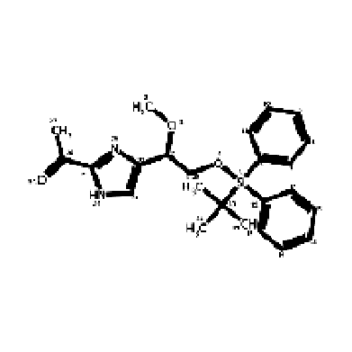 COC(CO[Si](c1ccccc1)(c1ccccc1)C(C)(C)C)c1c[nH]c(C(C)=O)n1